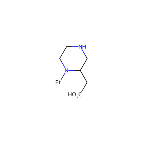 CCN1CCNCC1CC(=O)O